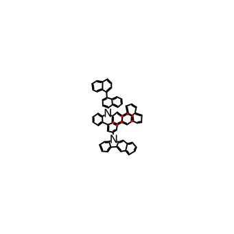 c1ccc(-c2cc(-c3ccccc3N(c3cccc(-c4cccc5ccccc45)c3)c3ccc(-c4cccc5ccccc45)c4ccccc34)cc(-n3c4ccccc4c4cc5ccccc5cc43)c2)cc1